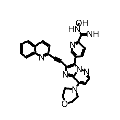 N=C(NO)c1ccc(-c2c(C#Cc3ccc4ccccc4n3)nc3c(N4CCOCC4)ccnn23)cn1